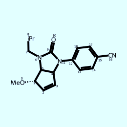 CO[C@H]1C=CC2C1N(CC(C)C)C(=O)N2c1ccc(C#N)cc1